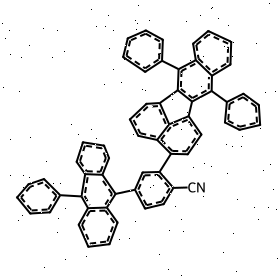 N#Cc1ccc(-c2c3ccccc3c(-c3ccccc3)c3ccccc23)cc1-c1ccc2c3c(cccc13)-c1c-2c(-c2ccccc2)c2ccccc2c1-c1ccccc1